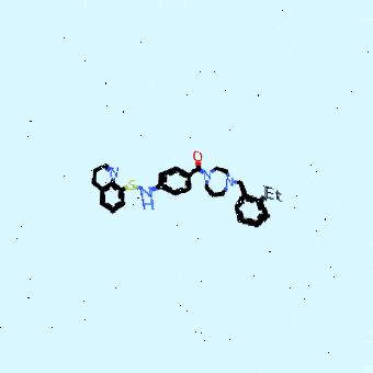 CCc1ccccc1CN1CCCN(C(=O)c2ccc(NSc3cccc4c3N=CCC4)cc2)CC1